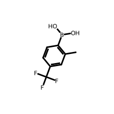 Cc1cc(C(F)(F)F)ccc1B(O)O